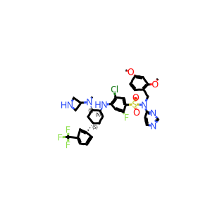 COc1ccc(CN(c2ccncn2)S(=O)(=O)c2cc(Cl)c(N[C@H]3CC[C@H](c4cccc(C(F)(F)F)c4)C[C@@H]3N(C)C3CNC3)cc2F)c(OC)c1